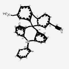 Cc1ccc2c(c1)C1(c3cc(C#N)ccc3-2)c2ccccc2N(c2ccccc2)c2ccccc21